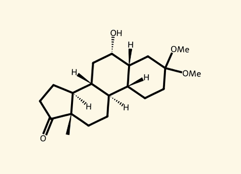 COC1(OC)CC[C@@H]2[C@H]3CC[C@]4(C)C(=O)CC[C@H]4[C@@H]3C[C@H](O)[C@@H]2C1